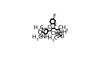 CCS(=O)(=O)N/C(C)=C/C=C(/Oc1ccc(F)cc1F)C(C)c1cc(NC)c(=O)n(C)c1